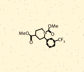 COC(=O)C1CCN(C(=O)OC)C(c2cccc(C(F)(F)F)c2)C1